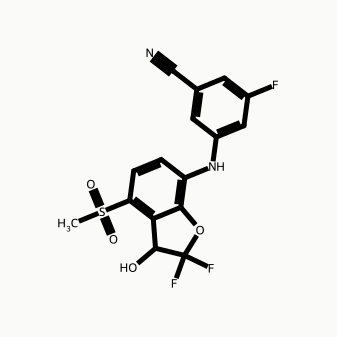 CS(=O)(=O)c1ccc(Nc2cc(F)cc(C#N)c2)c2c1C(O)C(F)(F)O2